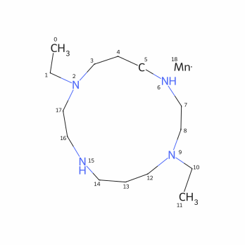 CCN1CCCNCCN(CC)CCCNCC1.[Mn]